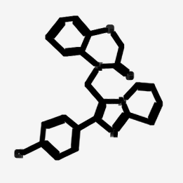 O=C1COc2ccccc2N1Cc1c(-c2ccc(Cl)cc2)nc2ccccn12